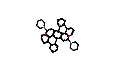 C1=CCCC(c2ccccc2-c2c3cc(N4CCCCC4)ccc3c(-c3ccccc3-c3ccccc3)c3cc(N4CCCCC4)ccc23)=C1